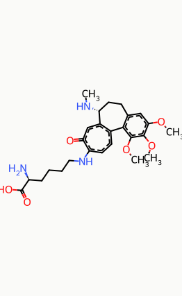 CN[C@@H]1CCc2cc(OC)c(OC)c(OC)c2-c2ccc(NCCCC[C@H](N)C(=O)O)c(=O)cc21